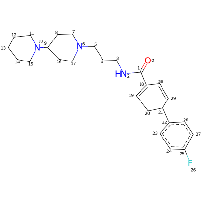 O=C(NCCCN1CCC(N2CCCCC2)CC1)C1=CCC(c2ccc(F)cc2)C=C1